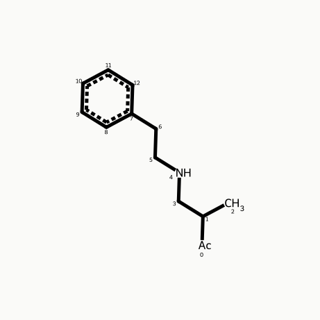 CC(=O)C(C)CNCCc1ccccc1